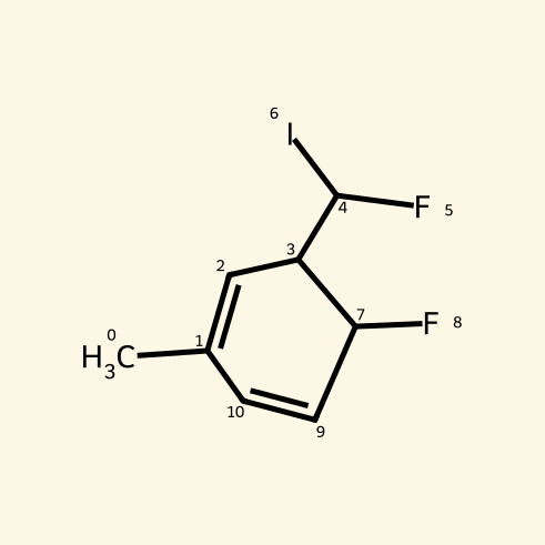 CC1=CC(C(F)I)C(F)C=C1